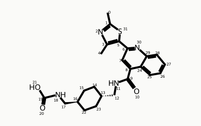 Cc1nc(C)c(-c2cc(C(=O)NC[C@H]3CC[C@H](CNC(=O)O)CC3)c3ccccc3n2)s1